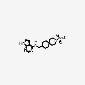 CCS(=O)(=O)N1CCC2(CCC(CNc3ncnc4[nH]ccc34)CC2)CC1